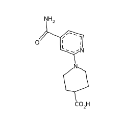 NC(=O)c1ccnc(N2CCC(C(=O)O)CC2)c1